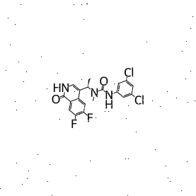 C[C@H](c1c[nH]c(=O)c2cc(F)c(F)cc12)N(C)C(=O)Nc1cc(Cl)cc(Cl)c1